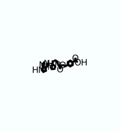 O=C(O)c1ccc(COC(=O)N2CCC[C@@H]3C2CCN3c2ncnc3[nH]ccc23)cc1